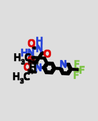 C[C@@H]1CN2c3ccc(-c4ccc(C(F)(F)F)cn4)cc3CC3(C(=O)NC(=O)NC3=O)[C@H]2[C@H](C)O1